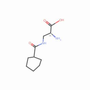 N[C@@H](CNC(=O)C1CCCCC1)C(=O)O